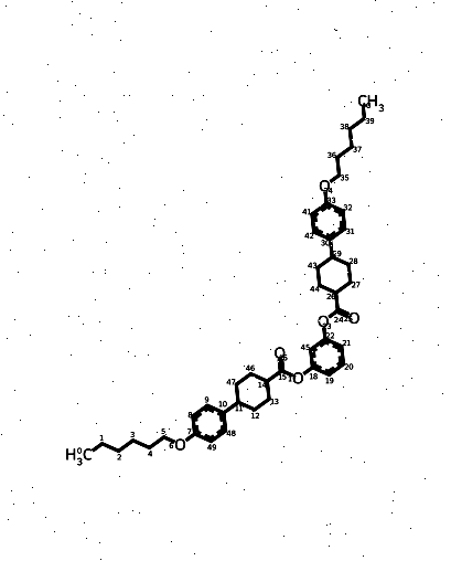 CCCCCCOc1ccc(C2CCC(C(=O)Oc3cccc(OC(=O)C4CCC(c5ccc(OCCCCCC)cc5)CC4)c3)CC2)cc1